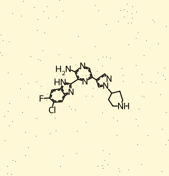 Nc1ncc(-c2cnn(C3CCNCC3)c2)nc1-c1nc2cc(Cl)c(F)cc2[nH]1